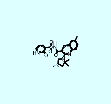 Cc1ccc2nc(N3C[C@@H](C)CC3(C)C)c(C(=O)NS(=O)(=O)c3ccc[nH]c3=O)cc2c1